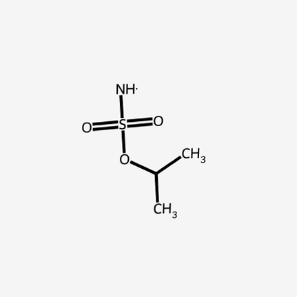 CC(C)OS([NH])(=O)=O